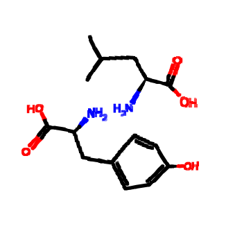 CC(C)C[C@H](N)C(=O)O.N[C@@H](Cc1ccc(O)cc1)C(=O)O